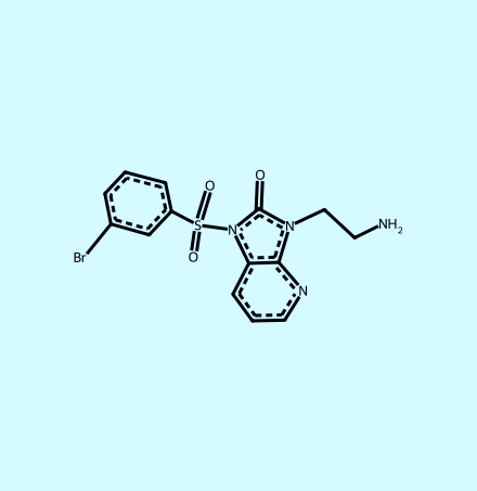 NCCn1c(=O)n(S(=O)(=O)c2cccc(Br)c2)c2cccnc21